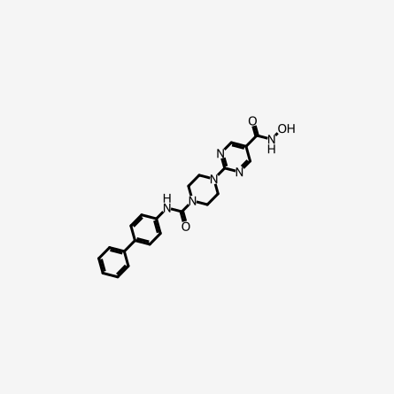 O=C(NO)c1cnc(N2CCN(C(=O)Nc3ccc(-c4ccccc4)cc3)CC2)nc1